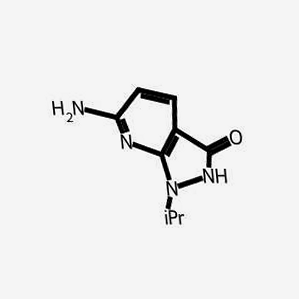 CC(C)n1[nH]c(=O)c2ccc(N)nc21